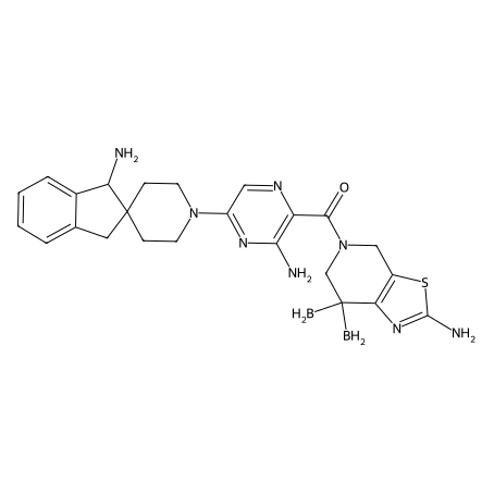 BC1(B)CN(C(=O)c2ncc(N3CCC4(CC3)Cc3ccccc3C4N)nc2N)Cc2sc(N)nc21